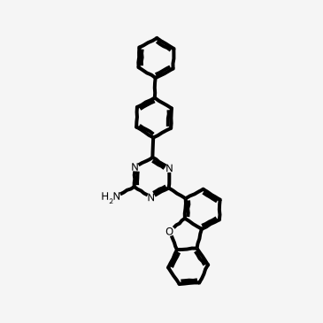 Nc1nc(-c2ccc(-c3ccccc3)cc2)nc(-c2cccc3c2oc2ccccc23)n1